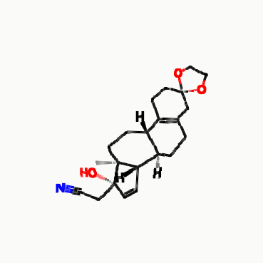 C[C@]12CC[C@@H]3C4=C(CC[C@H]3[C@@H]1C=C[C@@]2(O)CC#N)CC1(CC4)OCCO1